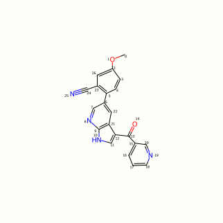 COc1ccc(-c2cnc3[nH]cc(C(=O)c4cccnc4)c3c2)c(C#N)c1